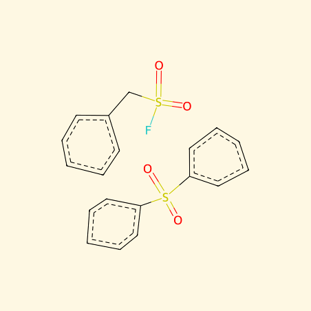 O=S(=O)(F)Cc1ccccc1.O=S(=O)(c1ccccc1)c1ccccc1